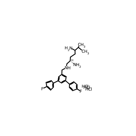 CC(C)C(N)CC[C@H](N)CNCc1cc(-c2ccc(F)cc2)cc(-c2ccc(F)cc2)c1.Cl.Cl.Cl